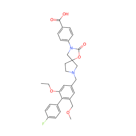 CCOc1cc(CN2CCC3(C2)CN(c2ccc(C(=O)O)cc2)C(=O)O3)cc(COC)c1-c1ccc(F)cc1